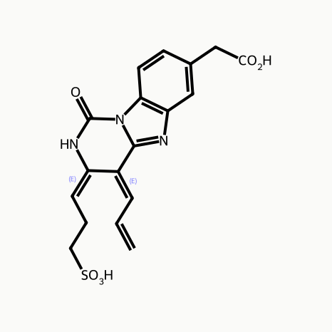 C=C/C=c1\c(=C/CCS(=O)(=O)O)[nH]c(=O)n2c1nc1cc(CC(=O)O)ccc12